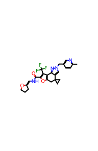 Cc1ccc(Cn2cc3c(n2)-c2c(oc(C(=O)NC=C4CCCO4)c2C(F)(F)F)CC32CC2)cn1